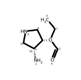 CCOC=O.N[C@H]1CCNC1